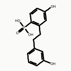 O=P(O)(O)c1ccc(O)cc1CCc1cccc(O)c1